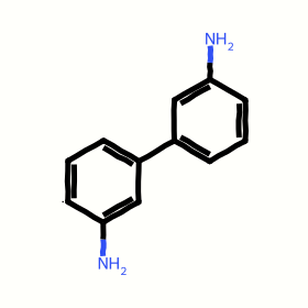 Nc1[c]ccc(-c2cccc(N)c2)c1